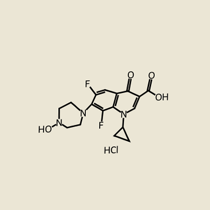 Cl.O=C(O)c1cn(C2CC2)c2c(F)c(N3CCN(O)CC3)c(F)cc2c1=O